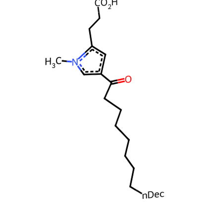 CCCCCCCCCCCCCCCCCC(=O)c1cc(CCC(=O)O)n(C)c1